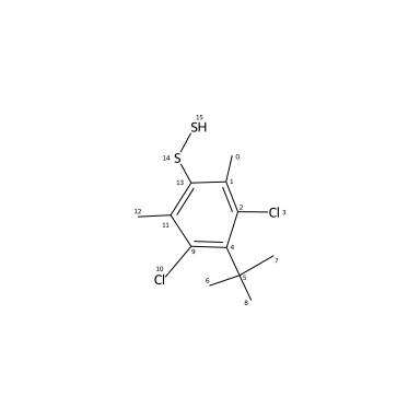 Cc1c(Cl)c(C(C)(C)C)c(Cl)c(C)c1SS